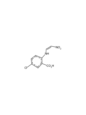 O=C(O)c1cc(Cl)ccc1N/C=C\[N+](=O)[O-]